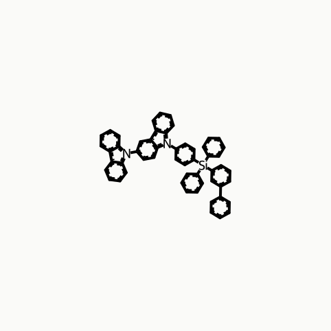 c1ccc(-c2cccc([Si](c3ccccc3)(c3ccccc3)c3ccc(-n4c5ccccc5c5cc(-n6c7ccccc7c7ccccc76)ccc54)cc3)c2)cc1